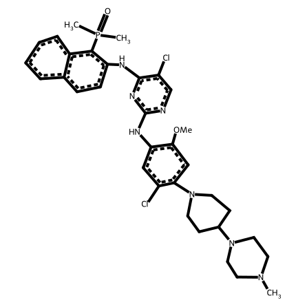 COc1cc(N2CCC(N3CCN(C)CC3)CC2)c(Cl)cc1Nc1ncc(Cl)c(Nc2ccc3ccccc3c2P(C)(C)=O)n1